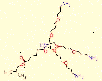 CC(C)COC(=O)CCCCC(=O)NC(COCCCOCCCN)(COCCCOCCCN)COCCCOCCCN